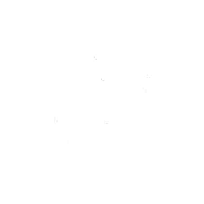 Cc1ccc(OCc2c(-c3nc(-c4cccc(S(N)(=O)=O)c4)no3)cnn2C)nc1